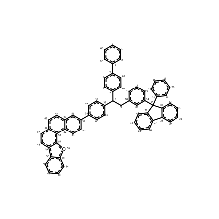 c1ccc(-c2ccc(C(Cc3cccc(C4(c5ccccc5)c5ccccc5-c5ccccc54)c3)c3ccc(-c4ccc5c(ccc6ccc7c8ccccc8oc7c65)c4)cc3)cc2)cc1